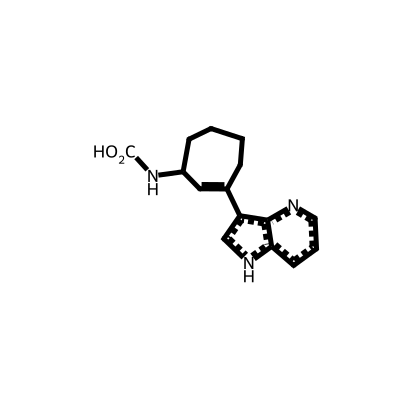 O=C(O)NC1C=C(c2c[nH]c3cccnc23)CCCC1